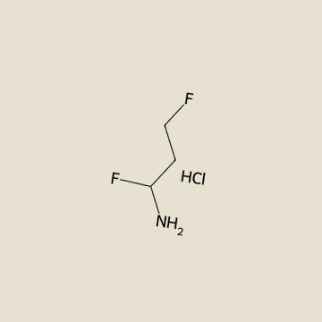 Cl.NC(F)CCF